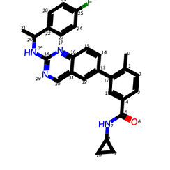 Cc1ccc(C(=O)NC2CC2)cc1-c1ccc2nc(NC(C)c3ccc(F)cc3)ncc2c1